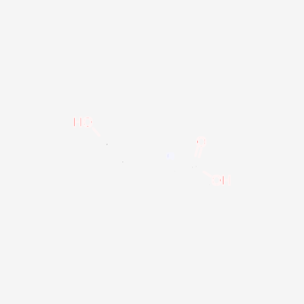 CC(C)(O)C/C=C/C(=O)O